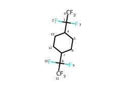 FC(F)(F)C(F)(F)C1CCC(C(F)(F)C(F)(F)F)CC1